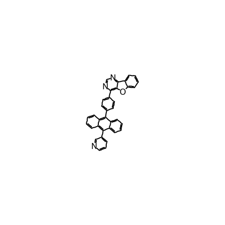 c1cncc(-c2c3ccccc3c(-c3ccc(-c4ncnc5c4oc4ccccc45)cc3)c3ccccc23)c1